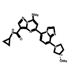 CNc1cc(-c2ccc(N3CC[C@H](OC)C3)c3nccn23)nc2c(C(=O)NC3CC3)cnn12